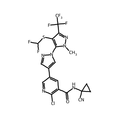 Cn1nc(C(F)(F)C(F)(F)F)c(SC(F)F)c1-n1cc(-c2cnc(Cl)c(C(=O)NC3(C#N)CC3)c2)cn1